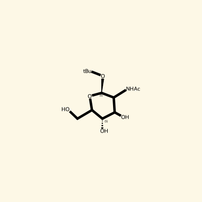 CC(=O)NC1C(O)[C@H](O)C(CO)O[C@H]1OC(C)(C)C